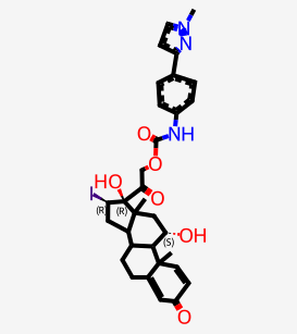 Cn1ccc(-c2ccc(NC(=O)OCC(=O)[C@@]3(O)[C@H](I)CC4C5CCC6=CC(=O)C=CC6(C)C5[C@@H](O)CC43C)cc2)n1